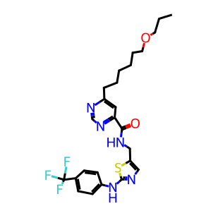 CCCOCCCCCCc1cc(C(=O)NCc2cnc(Nc3ccc(C(F)(F)F)cc3)s2)ncn1